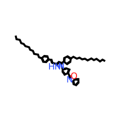 CCCCCCCCCCCCc1ccc(C=CC2=CC(c3ccc(CCCCCCCCCCCC)cc3)N(c3ccc(-c4nc5ccccc5o4)cc3)N2)cc1